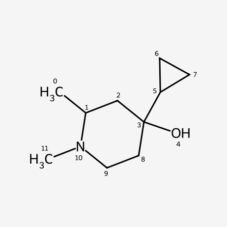 CC1CC(O)(C2CC2)CCN1C